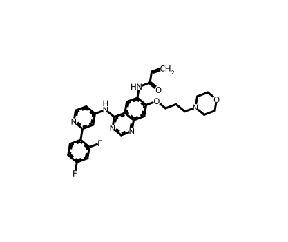 C=CC(=O)Nc1cc2c(Nc3ccnc(-c4ccc(F)cc4F)c3)ncnc2cc1OCCCN1CCOCC1